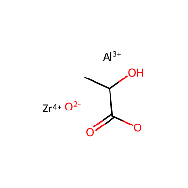 CC(O)C(=O)[O-].[Al+3].[O-2].[Zr+4]